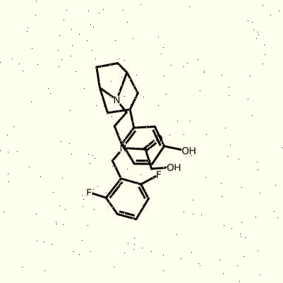 O=C(CO)N(CCN1C2CCC1CC(c1cccc(O)c1)C2)Cc1c(F)cccc1F